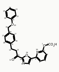 O=C(O)Oc1cccc(-c2cnc(C(=O)CCc3ccc(COc4ccccc4)cc3)o2)n1